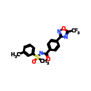 Cc1cccc(S(C)(=O)=NC(=O)c2ccc(-c3noc(C(F)(F)F)n3)cc2)c1